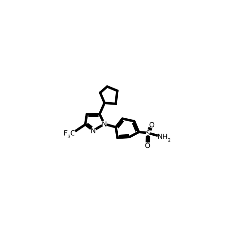 NS(=O)(=O)c1ccc(-n2nc(C(F)(F)F)cc2C2CCCC2)cc1